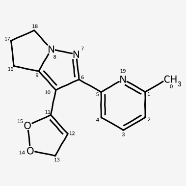 Cc1cccc(-c2nn3c(c2C2=CCOO2)CCC3)n1